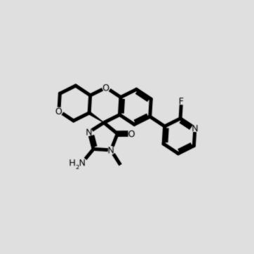 CN1C(=O)[C@]2(N=C1N)c1cc(-c3cccnc3F)ccc1OC1CCOCC12